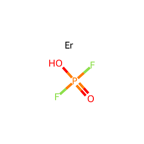 O=P(O)(F)F.[Er]